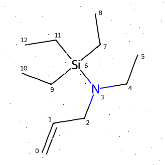 C=CCN(CC)[Si](CC)(CC)CC